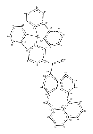 O=C(c1ccc2c(c1)C1(c3ccccc3-c3ccccc31)c1ccccc1-2)c1ccc2oc3cccc4cccc(c5cccc1c25)c43